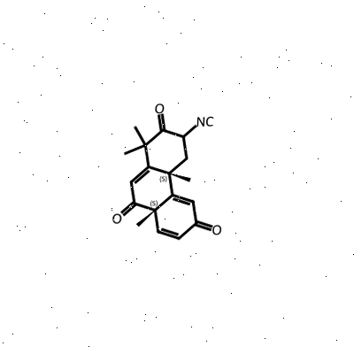 [C-]#[N+]C1C[C@@]2(C)C(=CC(=O)[C@@]3(C)C=CC(=O)C=C32)C(C)(C)C1=O